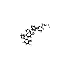 C[C@@H]1C[C@H](c2ncc(-c3ccnc(CN)c3)[nH]2)n2c1cc(-c1c(-n3cnnn3)ccc(Cl)c1F)cc2=O